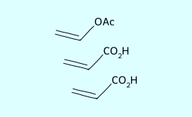 C=CC(=O)O.C=CC(=O)O.C=COC(C)=O